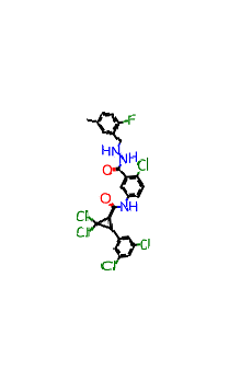 Cc1ccc(F)c(CNNC(=O)c2cc(NC(=O)C3C(c4cc(Cl)cc(Cl)c4)C3(Cl)Cl)ccc2Cl)c1